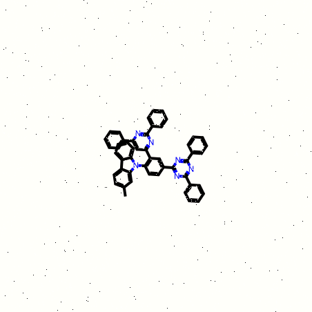 Cc1ccc2c3ccccc3n(-c3ccc(-c4nc(-c5ccccc5)nc(-c5ccccc5)n4)cc3-c3cc(-c4ccccc4)nc(-c4ccccc4)n3)c2c1